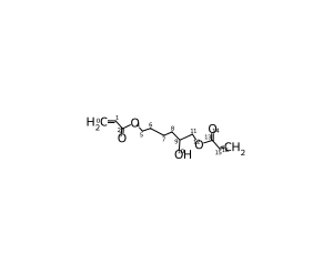 C=CC(=O)OCCCCC(O)COC(=O)C=C